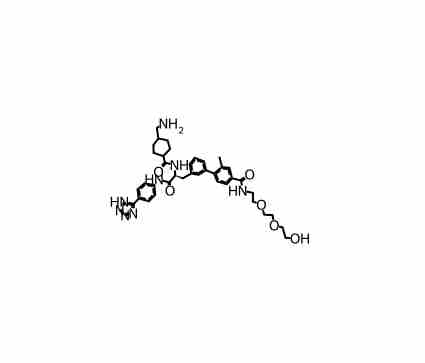 Cc1cc(C(=O)NCCOCCOCCO)ccc1-c1cccc(C[C@H](NC(=O)C2CCC(CN)CC2)C(=O)Nc2ccc(-c3nnn[nH]3)cc2)c1